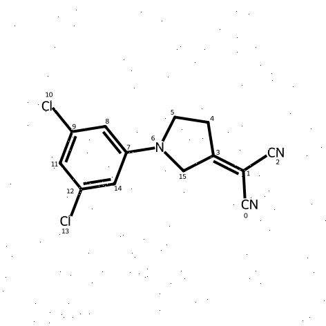 N#CC(C#N)=C1CCN(c2cc(Cl)cc(Cl)c2)C1